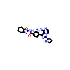 Nc1nccn2c([C@@H]3CCCN3)nc(-c3ccc(C(=O)Nc4nc5c(s4)CCCC5)cc3)c12